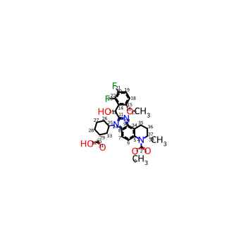 COC(=O)N1c2ccc3c(nc([C@H](O)c4c(OC)ccc(F)c4F)n3[C@@H]3CCC[C@@H](C(=O)O)C3)c2CC[C@@H]1C